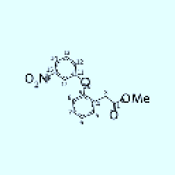 COC(=O)Cc1ccccc1Oc1cccc([N+](=O)[O-])c1